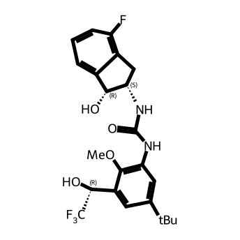 COc1c(NC(=O)N[C@H]2Cc3c(F)cccc3[C@H]2O)cc(C(C)(C)C)cc1[C@@H](O)C(F)(F)F